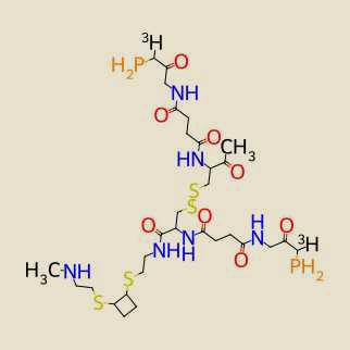 [3H]C(P)C(=O)CNC(=O)CCC(=O)NC(CSSCC(NC(=O)CCC(=O)NCC(=O)C([3H])P)C(=O)NCCSC1CCC1SCCNC)C(C)=O